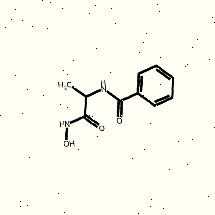 CC(NC(=O)c1ccccc1)C(=O)NO